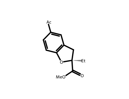 CC[C@@]1(C(=O)OC)Cc2cc(C(C)=O)ccc2O1